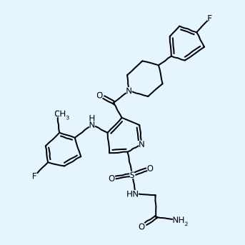 Cc1cc(F)ccc1Nc1cc(S(=O)(=O)NCC(N)=O)ncc1C(=O)N1CCC(c2ccc(F)cc2)CC1